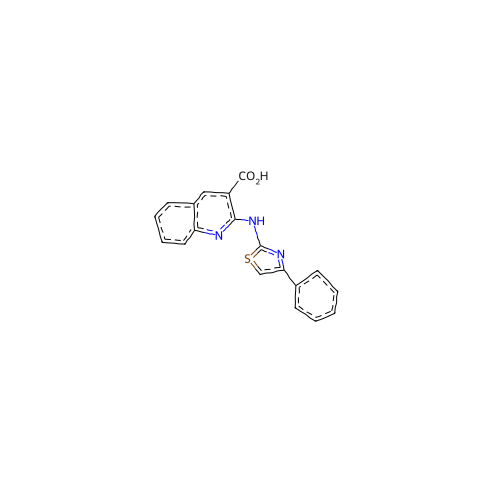 O=C(O)c1cc2ccccc2nc1Nc1nc(-c2ccccc2)cs1